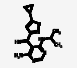 CC(C)Nc1ncnc(N)c1C(=N)c1cc(C2CC2)on1